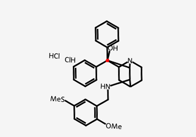 COc1ccc(SC)cc1CNC1C2CCN(C(CO)C2)C1C(c1ccccc1)c1ccccc1.Cl.Cl